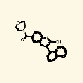 Cc1nc2ccc(C(=O)N3CCOCC3)cc2cc1-c1cccc2ccccc12